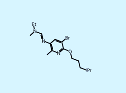 CCN(C)C=Nc1cc(Br)c(OCCCC(C)C)nc1C